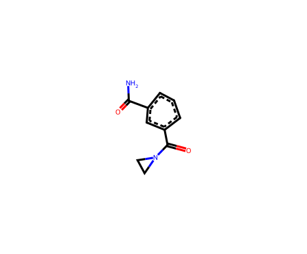 NC(=O)c1cccc(C(=O)N2CC2)c1